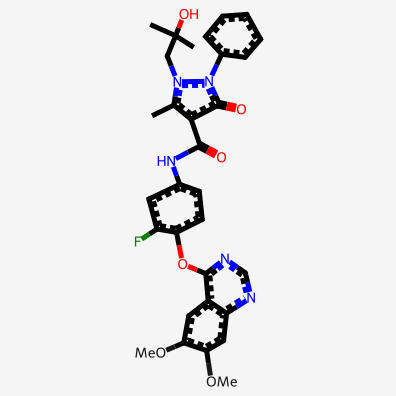 COc1cc2ncnc(Oc3ccc(NC(=O)c4c(C)n(CC(C)(C)O)n(-c5ccccc5)c4=O)cc3F)c2cc1OC